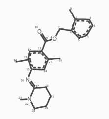 Cc1ccccc1COC(=O)c1cc(C)c(/N=C2\CCCCN2C)cc1C